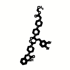 CCOC(=O)CN1CCN(C2CCN(C(=O)[C@@H](CC(=O)N3CCC(N4Cc5ccccc5NC4=O)CC3)Cc3ccc(Br)c(Br)c3)CC2)CC1